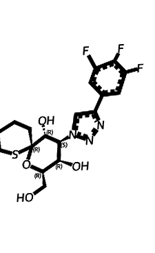 OC[C@H]1O[C@@]2(CCCCS2)[C@H](O)[C@@H](n2cc(-c3cc(F)c(F)c(F)c3)nn2)[C@H]1O